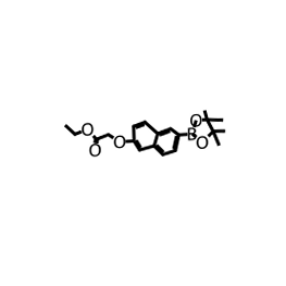 CCOC(=O)COc1ccc2cc(B3OC(C)(C)C(C)(C)O3)ccc2c1